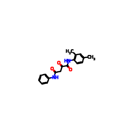 Cc1ccc(NC(=O)C(=O)CC(=O)Nc2ccccc2)c(C)c1